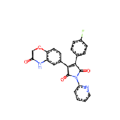 O=C1COc2ccc(C3=C(c4ccc(F)cc4)C(=O)N(c4ccccn4)C3=O)cc2N1